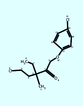 CCC(C)(CCCl)C(=O)COc1ccc(Cl)cc1